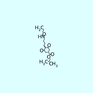 C=CCONCCCC=C1C(=O)CC(C(=O)OCC(C)C)CC1=O